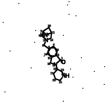 O=C1c2ccc(CN3CC4CC(C3)N4)cc2CN1C1CCCNC1